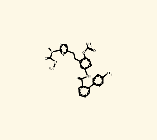 CN(C(=O)OC(C)(C)C)c1nc(CCc2cc(NC(=O)c3ccccc3-c3ccc(C(F)(F)F)cc3)ccc2OC(N)=O)cs1